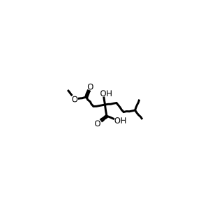 COC(=O)CC(O)(CCC(C)C)C(=O)O